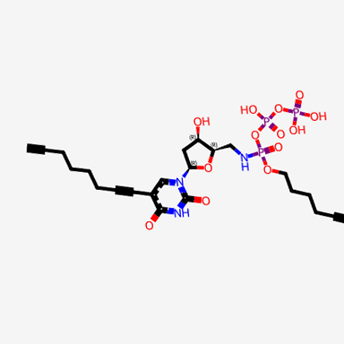 C#CCCCCC#Cc1cn([C@H]2C[C@@H](O)[C@@H](CNP(=O)(OCCCCC#C)OP(=O)(O)OP(=O)(O)O)O2)c(=O)[nH]c1=O